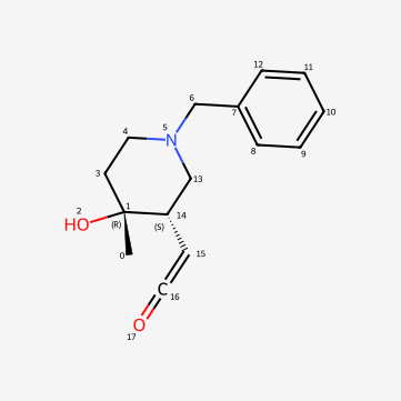 C[C@@]1(O)CCN(Cc2ccccc2)C[C@@H]1C=C=O